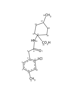 Cc1ccc(CC(=O)NC2(C(=O)O)CCC(C)CC2)c(Cl)c1